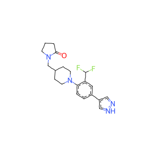 O=C1CCCN1CC1CCN(c2ccc(-c3cn[nH]c3)cc2C(F)F)CC1